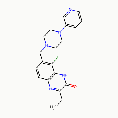 CCc1nc2ccc(CN3CCN(c4cccnc4)CC3)c(F)c2[nH]c1=O